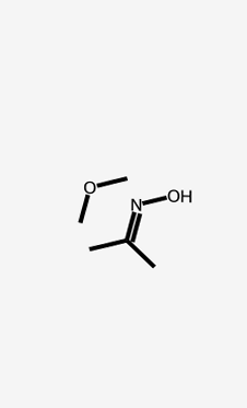 CC(C)=NO.COC